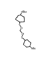 CCCCC1CCC(SOCOSC2CCC(CCCC)CC2)CC1